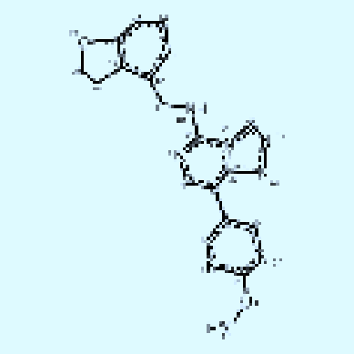 COc1ncc(-c2cnc(NCc3cccc4c3CCO4)n3cnnc23)cn1